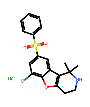 CC1(C)NCCc2oc3c(Cl)cc(S(=O)(=O)c4ccccc4)cc3c21.Cl